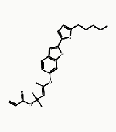 C=CC(=O)OC(C)(C)/C=C(\C)Oc1ccc2cc(-c3ccc(CCCCC)s3)oc2c1